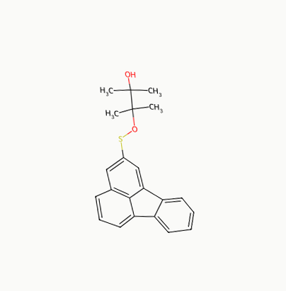 CC(C)(O)C(C)(C)OSc1cc2c3c(cccc3c1)-c1ccccc1-2